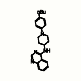 CCCCc1ccc(N2CCC(Nc3ncnc4ccccc34)CC2)cc1